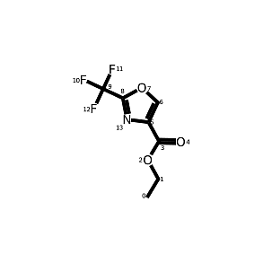 CCOC(=O)c1coc(C(F)(F)F)n1